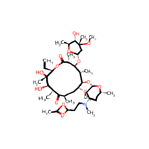 CC[C@H]1OC(=O)[C@H](C)[C@@H](O[C@H]2C[C@@](C)(OC)[C@@H](O)[C@H](C)O2)[C@H](C)[C@@H](O[C@H]2C[C@@H](N(C)CCC3OC(C)O3)C[C@@H](C)O2)[C@H](OC)C[C@@H](C)C(=O)[C@H](C)[C@@H](O)[C@]1(C)O